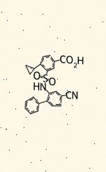 N#Cc1ccc(-c2ccccc2)c(NS(=O)(=O)c2cc(C(=O)O)ccc2C2CC2)c1